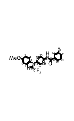 COc1ccc2c(c1)nc(C(F)(F)F)n2-c1cnc(NC(=O)c2cccc(F)c2)cn1